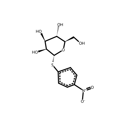 O=[N+]([O-])c1ccc(S[C@H]2O[C@H](CO)[C@@H](O)[C@H](O)[C@@H]2O)cc1